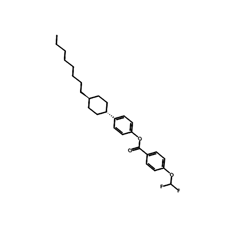 CCCCCCCC[C@H]1CC[C@H](c2ccc(OC(=O)c3ccc(OC(F)F)cc3)cc2)CC1